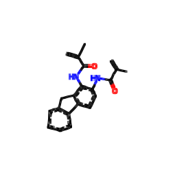 C=C(C)C(=O)Nc1ccc2c(c1NC(=O)C(=C)C)Cc1ccccc1-2